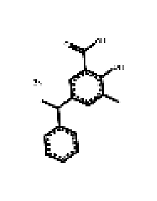 Cc1cc(C(C)c2ccccc2)cc(C(=O)O)c1O.[Zn]